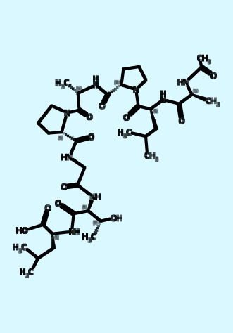 CC(=O)N[C@@H](C)C(=O)N[C@@H](CC(C)C)C(=O)N1CCC[C@H]1C(=O)N[C@@H](C)C(=O)N1CCC[C@H]1C(=O)NCC(=O)N[C@H](C(=O)N[C@@H](CC(C)C)C(=O)O)[C@@H](C)O